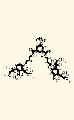 CCC(C)(C)c1ccc(OCCCNC(=O)c2cc(C(=O)NCCCOc3ccc(C(C)(C)CC)cc3C(C)(C)CC)cc([SH](=O)=O)c2)c(C(C)(C)CC)c1